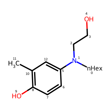 CCCCCCN(CCO)c1ccc(O)c(C)c1